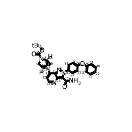 CC(C)(C)OC(=O)N1C[C@H]2C[C@@H]1CN2c1ccnc2c(C(N)=O)n(-c3ccc(Oc4ccccc4)cc3)nc12